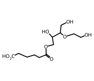 O=C(O)CCCCC(=O)OCC(O)C(CO)OCCO